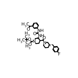 CC(=O)c1cccc(NC(=O)N[C@@H]2CN(C(=O)OC(C)(C)C)CCC2C(=O)N2CCC[C@@H](Cc3ccc(F)cc3)C2)c1